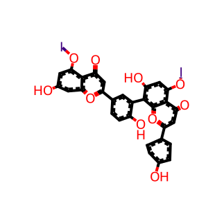 O=c1cc(-c2ccc(O)c(-c3c(O)cc(OI)c4c(=O)cc(-c5ccc(O)cc5)oc34)c2)oc2cc(O)cc(OI)c12